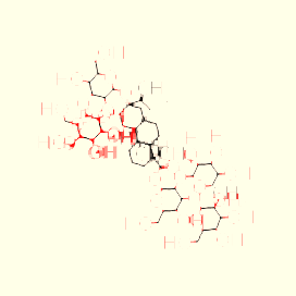 C=C1C[C@@]23CC[C@H]4[C@@](C)(CCC[C@@]4(C)C(=O)OC4OC(CO)C(O)C(OC5OC(CO)C(O)C(O)C5O)C4OC4OC(C)C(O)C(O)C4O)[C@@H]2CC[C@]1(OC1OC(CO)C(O)C(OC2OC(CO)C(O)C(O)C2O)C1OC1OC(CO)C(O)C(O)C1O)C3